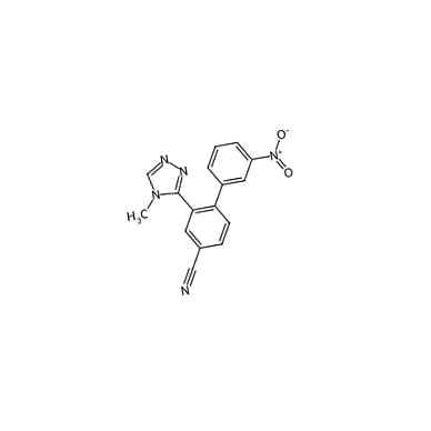 Cn1cnnc1-c1cc(C#N)ccc1-c1cccc([N+](=O)[O-])c1